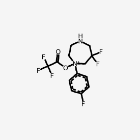 O=C(O[N+]1(c2ccc(F)cc2)CCNCC(F)(F)C1)C(F)(F)F